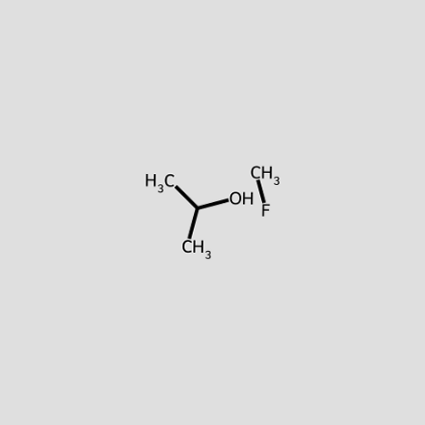 CC(C)O.CF